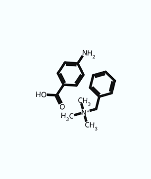 C[N+](C)(C)Cc1ccccc1.Nc1ccc(C(=O)O)cc1